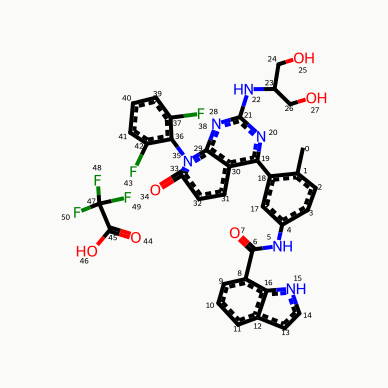 Cc1ccc(NC(=O)c2cccc3cc[nH]c23)cc1-c1nc(NC(CO)CO)nc2c1ccc(=O)n2-c1c(F)cccc1F.O=C(O)C(F)(F)F